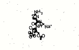 CON=C(C(=O)N[C@@H]1C(=O)N(S(=O)(=O)[O-])[C@@H]1COC(C)=O)c1csc(N)n1.[Na+]